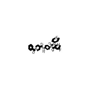 O=C(NC1CCC(n2c(=O)c3cc(F)cnc3n(C3CCSCC3)c2=O)CC1)C1CCN(C(=O)c2ccccc2)CC1